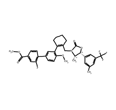 COC(=O)c1ccc(-c2ccc(OC)c(C3=C(CN4C(=O)O[C@H](c5cc(C)cc(C(F)(F)F)c5)[C@@H]4C)CCCC3)c2)c(F)c1